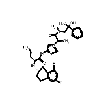 CCC[C@H](N[C@H]1CCc2cc(F)cc(F)c2C1)C(=O)Nc1cn(C(C)C(=O)N(C)CC(C)(O)c2ccccc2)cn1